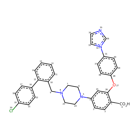 O=C(O)c1ccc(N2CCN(Cc3ccccc3-c3ccc(Cl)cc3)CC2)cc1Oc1ccc(-n2ccnc2)cc1